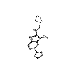 Cn1c(NCC2CCCO2)nc2cnc(-c3cccs3)cc21